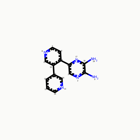 Nc1ncc(-c2ccncc2-c2cccnc2)nc1N